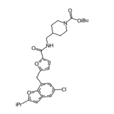 CC(C)COC(=O)N1CCC(CNC(=O)c2ccc(Cc3cc(Cl)cc4cc(C(C)C)oc34)o2)CC1